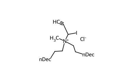 C#CC(I)[N+](C)(CCCCCCCCCCCC)CCCCCCCCCCCC.[Cl-]